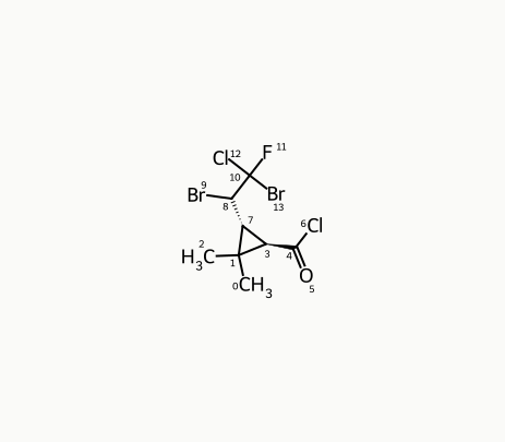 CC1(C)[C@H](C(=O)Cl)[C@H]1C(Br)C(F)(Cl)Br